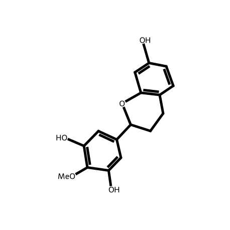 COc1c(O)cc(C2CCc3ccc(O)cc3O2)cc1O